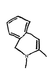 CC1=Cc2ccccc2CN1C